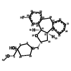 COCC1(O)CCN(C[C@H]2C[C@@H]3c4ccccc4Cc4ccc(F)cc4[C@@H]3O2)CC1